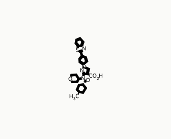 C[C@H]1CC[C@H](C(=O)N(c2nn(-c3ccc(-c4nc5ccccc5s4)cc3)cc2C(=O)O)C2CCOCC2)CC1